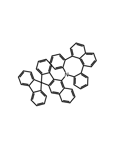 c1ccc2c(c1)-c1cccc3cccc(c13)-c1ccccc1N2c1c2c(cc3ccccc13)C1(c3ccccc3-c3ccccc31)c1ccccc1-2